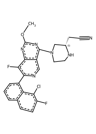 COc1nc(N2CCN[C@@H](CC#N)C2)c2cnc(-c3cccc4ccc(F)c(Cl)c34)c(F)c2n1